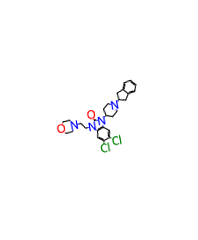 O=c1n(CCN2CCOCC2)c2cc(Cl)c(Cl)cc2n1C1CCN(C2Cc3ccccc3C2)CC1